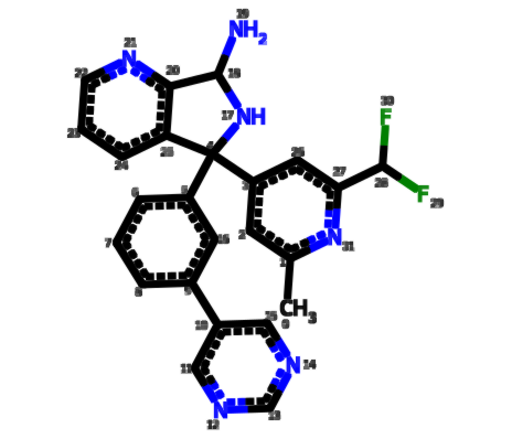 Cc1cc(C2(c3cccc(-c4cncnc4)c3)NC(N)c3ncccc32)cc(C(F)F)n1